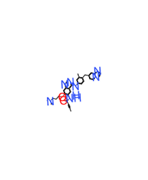 CC#CC(=O)Nc1cc2c(Nc3ccc(Cc4ccn5ccnc5c4)c(C)c3)ncnc2cc1OCCCN(C)C